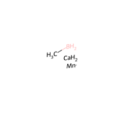 BC.[CaH2].[Mn]